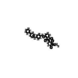 NN1C(=O)CCC(N2C(=O)c3cccc(OCC4=CCC(CN5CCC(c6ccccc6)CC5)C=C4)c3C2=O)C1=O